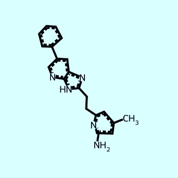 Cc1cc(N)nc(CCc2nc3cc(-c4ccccc4)cnc3[nH]2)c1